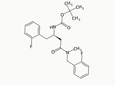 CN(Cc1ccccc1F)C(=O)C[C@@H](Cc1ccccc1F)NC(=O)OC(C)(C)C